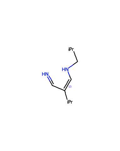 CC(C)CN/C=C(\C=N)C(C)C